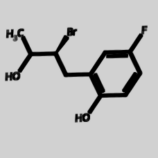 CC(O)[C@@H](Br)Cc1cc(F)ccc1O